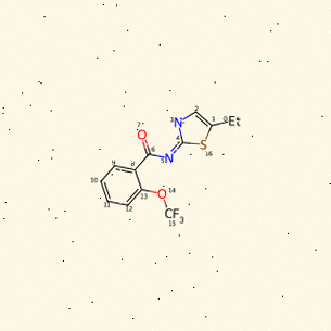 CCC1=C[N]C(=NC(=O)c2ccccc2OC(F)(F)F)S1